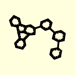 c1ccc(-c2cccc(-c3cccc(-c4cc5c6ccccc6n6c7ccccc7c(c4)c56)c3)c2)nc1